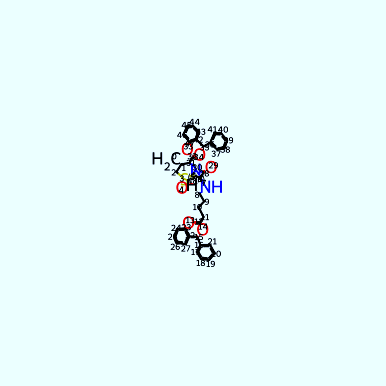 C=C1C[S+]([O-])[C@H]2[C@H](NCCCCC(=O)OC(c3ccccc3)c3ccccc3)C(=O)N2C1C(=O)OC(c1ccccc1)c1ccccc1